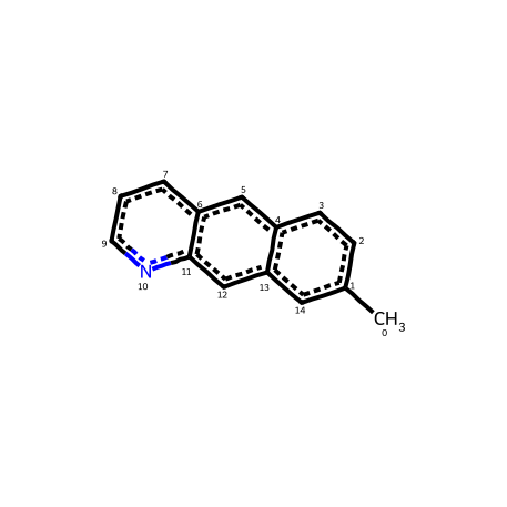 Cc1ccc2cc3cccnc3cc2c1